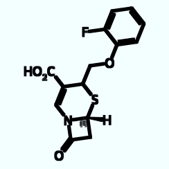 O=C(O)C1=CN2C(=O)C[C@H]2SC1COc1ccccc1F